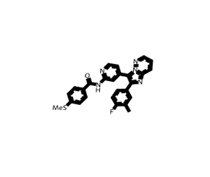 CSc1ccc(C(=O)Nc2cc(-c3c(-c4ccc(F)c(C)c4)nc4cccnn34)ccn2)cc1